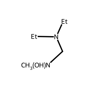 CCN(CC)CN(C)O